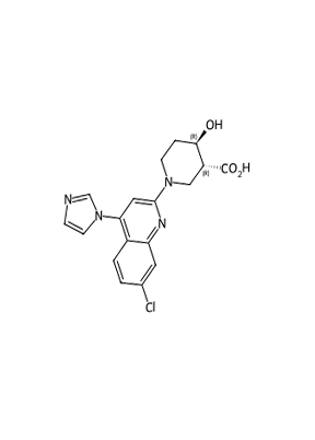 O=C(O)[C@@H]1CN(c2cc(-n3ccnc3)c3ccc(Cl)cc3n2)CC[C@H]1O